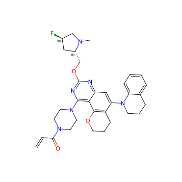 C=CC(=O)N1CCN(c2nc(OC[C@@H]3C[C@@H](F)CN3C)nc3cc(N4CCCc5ccccc54)c4c(c23)OCCC4)CC1